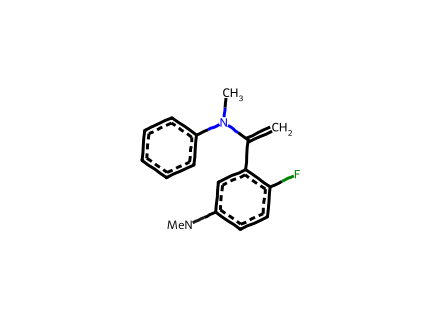 C=C(c1cc(NC)ccc1F)N(C)c1ccccc1